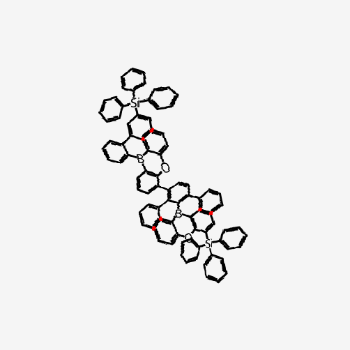 c1ccc(-c2ccc(-c3cccc4c3Oc3ccccc3B4c3ccccc3-c3cccc([Si](c4ccccc4)(c4ccccc4)c4ccccc4)c3)c(-c3ccccc3)c2B2c3ccccc3Oc3c2cccc3[Si](c2ccccc2)(c2ccccc2)c2ccccc2)cc1